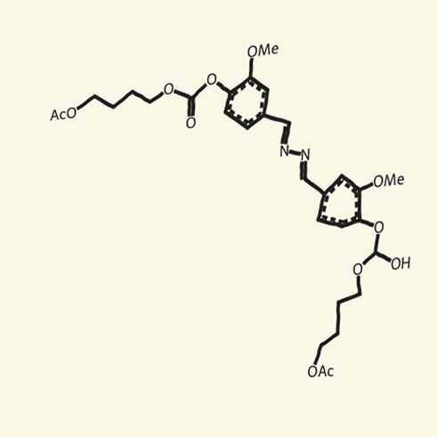 COc1cc(/C=N/N=C/c2ccc(OC(O)OCCCCOC(C)=O)c(OC)c2)ccc1OC(=O)OCCCCOC(C)=O